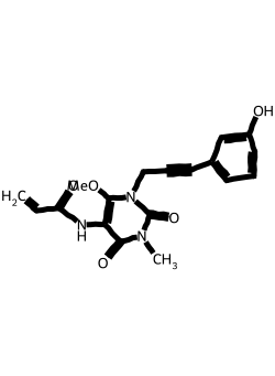 C=CC(=O)Nc1c(OC)n(CC#Cc2cccc(O)c2)c(=O)n(C)c1=O